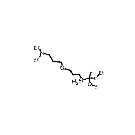 CCOC(C)(OCC)[SiH2]CCCOCCCN(CC)CC